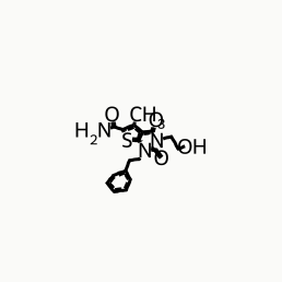 Cc1c(C(N)=O)sc2c1c(=O)n(CCO)c(=O)n2CCc1ccccc1